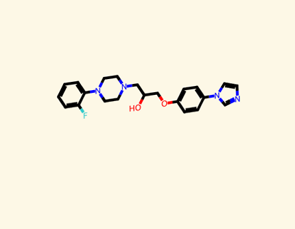 OC(COc1ccc(-n2ccnc2)cc1)CN1CCN(c2ccccc2F)CC1